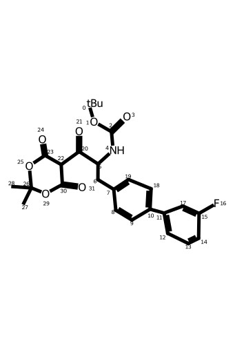 CC(C)(C)OC(=O)NC(Cc1ccc(-c2cccc(F)c2)cc1)C(=O)C1C(=O)OC(C)(C)OC1=O